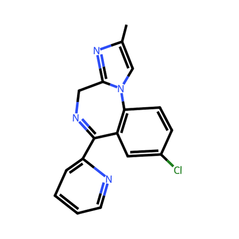 Cc1cn2c(n1)CN=C(c1ccccn1)c1cc(Cl)ccc1-2